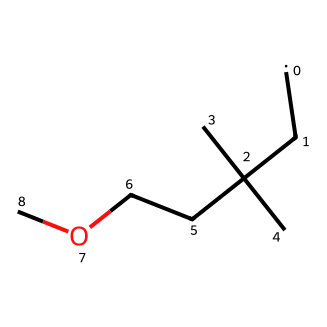 [CH2]CC(C)(C)CCOC